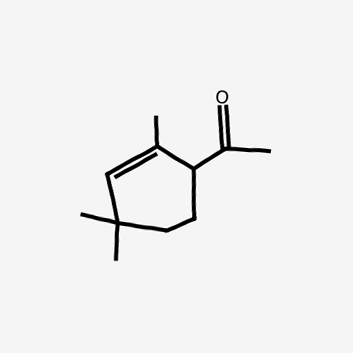 CC(=O)C1CCC(C)(C)C=C1C